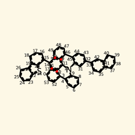 c1ccc(-c2ccccc2N(c2ccc(-c3cccc4c3sc3ccccc34)cc2)c2cc(-c3ccc4ccccc4c3)ccc2-c2ccccc2)cc1